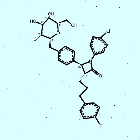 O=C1[C@H](CCCc2ccc(F)cc2)[C@@H](c2ccc(C[C@@H]3O[C@H](CO)[C@@H](O)[C@H](O)[C@H]3O)cc2)N1c1ccc(Cl)cc1